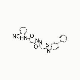 N#Cc1ccccc1NC(=O)Cc1nnc(Cc2nc3ccc(-c4ccccc4)cc3s2)o1